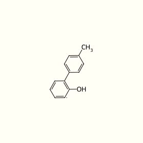 Cc1ccc(-c2ccc[c]c2O)cc1